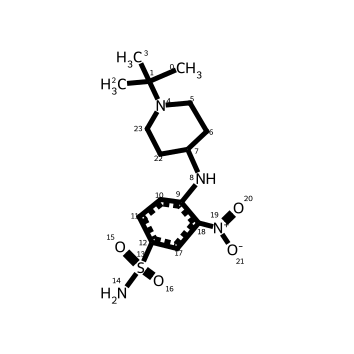 CC(C)(C)N1CCC(Nc2ccc(S(N)(=O)=O)cc2[N+](=O)[O-])CC1